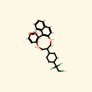 FCC(F)(F)C1CCC(C2COc3ccc4ccccc4c3-c3c(ccc4ccccc34)OC2)CC1